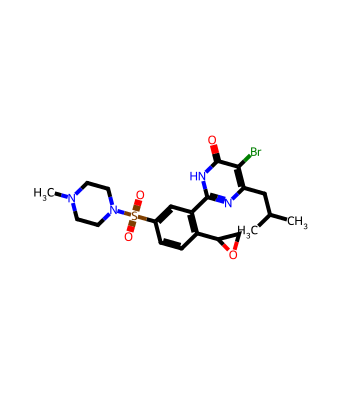 CC(C)Cc1nc(-c2cc(S(=O)(=O)N3CCN(C)CC3)ccc2C2CO2)[nH]c(=O)c1Br